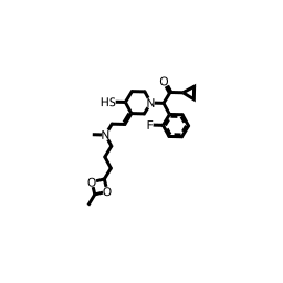 CC1OC(CCCN(C)C/C=C2/CN(C(C(=O)C3CC3)c3ccccc3F)CCC2S)O1